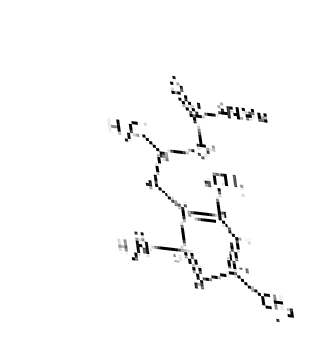 CNC(=O)OC(C)Cc1c(C)cc(C)cc1N